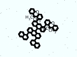 CC1(C)c2ccccc2Oc2cccc(-c3cccc4c(-c5c6cccc(-c7cccc8ccccc78)c6cc6c(-c7cccc8ccccc78)cccc56)c5cccc(-c6cccc7c6C(C)(C)c6ccccc6O7)c5cc34)c21